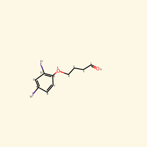 O=[C]CCCOc1ccc(I)cc1I